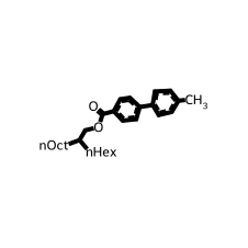 CCCCCCCCC(CCCCCC)COC(=O)c1ccc(-c2ccc(C)cc2)cc1